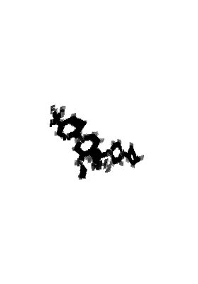 C=C/N=C1/CN(c2ccc(C(F)(F)F)cn2)CC/C1=C(/N)N1CCN(C2CCC2)CC1